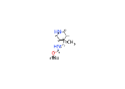 CC1(CNCOC(C)(C)C)CCNCC1